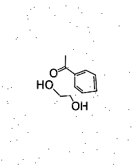 CC(=O)c1ccccc1.OCCO